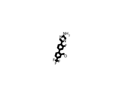 Nc1cnc(-c2ccc(-c3ccc(C(F)(F)F)cc3C=O)cc2F)cn1